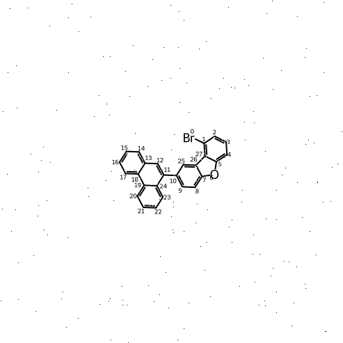 Brc1cccc2oc3ccc(-c4cc5ccccc5c5ccccc45)cc3c12